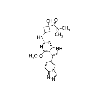 COc1nc(NC2CC(C)(C(=O)N(C)C)C2)nc2[nH]cc(-c3ccc4nncn4c3)c12